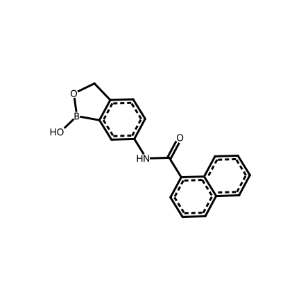 O=C(Nc1ccc2c(c1)B(O)OC2)c1cccc2ccccc12